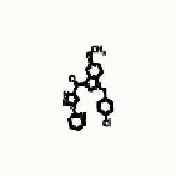 COc1ccc2c(c1)c(C(=O)c1cn(-c3ccccn3)nn1)cn2Cc1ccc(Cl)cc1